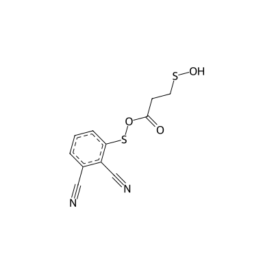 N#Cc1cccc(SOC(=O)CCSO)c1C#N